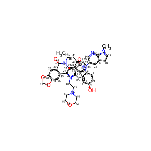 Cc1c(C(=O)N(c2ccc(O)cc2)c2cnc3c(ccn3C)c2)cc(-c2cc3c(cc2C(=O)N2Cc4ccccc4C[C@H]2C)OCO3)n1CCN1CCOCC1